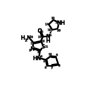 Nc1nc(Nc2ccccc2)sc1C(=O)N[C@@H]1CCNC1